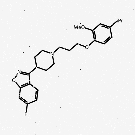 COc1cc(C(C)C)ccc1OCCCN1CCC(c2noc3cc(F)ccc23)CC1